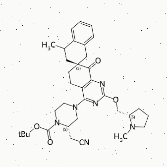 CC1C[C@@]2(CCc3c(nc(OC[C@@H]4CCCN4C)nc3N3CCN(C(=O)OC(C)(C)C)[C@@H](CC#N)C3)C2=O)Cc2ccccc21